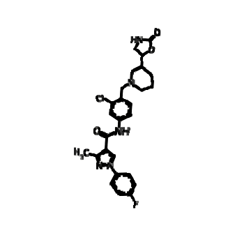 Cc1nn(-c2ccc(F)cc2)cc1C(=O)Nc1ccc(CN2CCCC(C3CNC(=O)O3)C2)c(Cl)c1